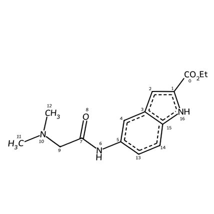 CCOC(=O)c1cc2cc(NC(=O)CN(C)C)ccc2[nH]1